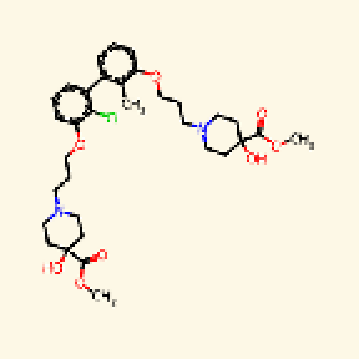 COC(=O)C1(O)CCN(CCCOc2cccc(-c3cccc(OCCCN4CCC(O)(C(=O)OC)CC4)c3Cl)c2C)CC1